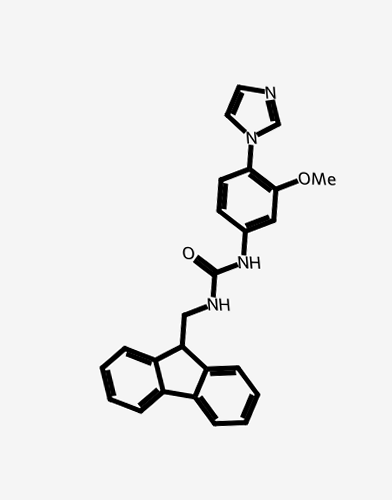 COc1cc(NC(=O)NCC2c3ccccc3-c3ccccc32)ccc1-n1ccnc1